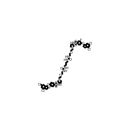 O=C(NCCCCNC(=O)NCCOCCN1CC[C@H](NS(=O)(=O)c2ccc(O[C@@H]3CCc4c(Cl)cc(Cl)cc43)c(F)c2)C1)NCCOCCN1CC[C@H](NS(=O)(=O)c2ccc(O[C@@H]3CCc4c(Cl)cc(Cl)cc43)c(F)c2)C1